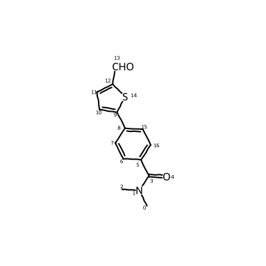 CN(C)C(=O)c1ccc(-c2ccc(C=O)s2)cc1